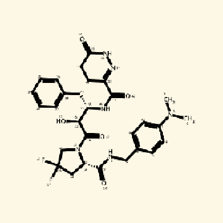 CN(C)c1ccc(CNC(=O)[C@@H]2CC(F)(F)CN2C(=O)[C@@H](O)[C@H](Cc2ccccc2)NC(=O)C2=NNC(=O)CC2)cc1